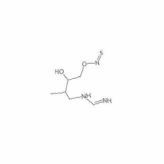 CC(CNC=N)C(O)CON=S